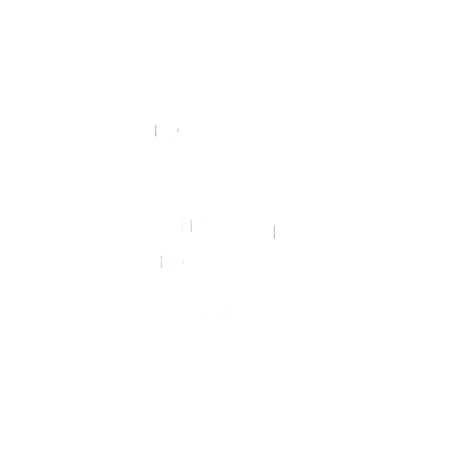 C=CC(=O)CC(C)(C)CC(C)C